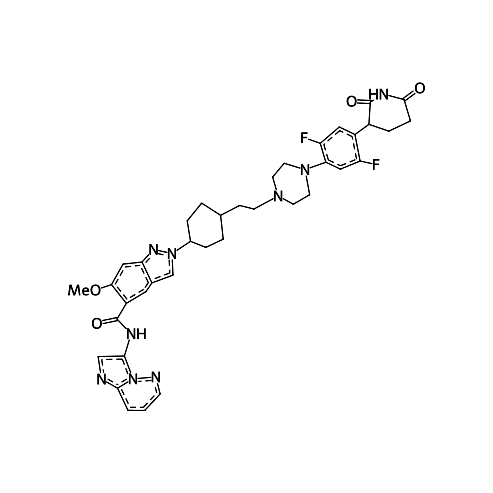 COc1cc2nn(C3CCC(CCN4CCN(c5cc(F)c(C6CCC(=O)NC6=O)cc5F)CC4)CC3)cc2cc1C(=O)Nc1cnc2cccnn12